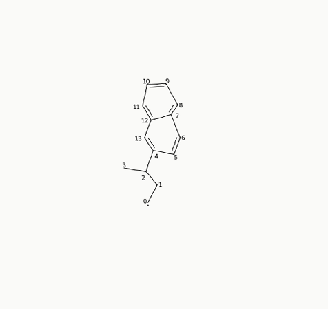 [CH2]CC(C)c1ccc2ccccc2c1